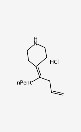 C=CCC(CCCCC)=C1CCNCC1.Cl